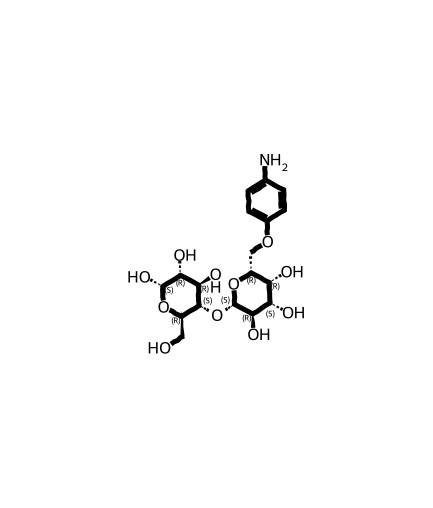 Nc1ccc(OC[C@H]2O[C@@H](O[C@H]3[C@H](O)[C@@H](O)[C@@H](O)O[C@@H]3CO)[C@H](O)[C@@H](O)[C@H]2O)cc1